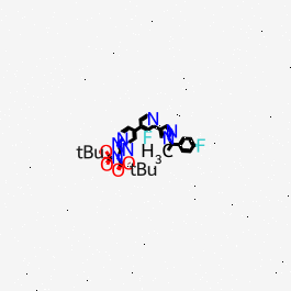 CC(c1ccc(F)cc1)n1cc(-c2nccc(-c3ccn4nc(N(C(=O)OC(C)(C)C)C(=O)OC(C)(C)C)nc4c3)c2F)cn1